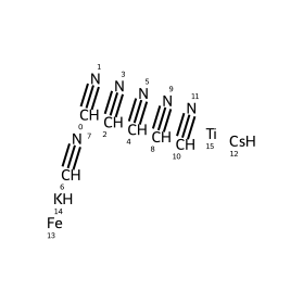 C#N.C#N.C#N.C#N.C#N.C#N.[CsH].[Fe].[KH].[Ti]